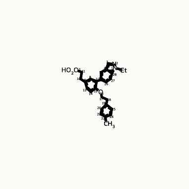 CCn1ncc2cc(-c3cc(CCC(=O)O)ccc3OCCc3ccc(C)cc3)ccc21